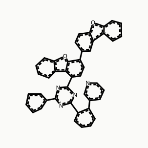 c1ccc(-c2nc(-c3ccccc3-c3cccnc3)nc(-c3ccc(-c4ccc5oc6ccccc6c5c4)c4oc5ccccc5c34)n2)cc1